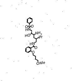 COCCCCOc1ccccc1C(=O)NCC(CC(N)C(O)CNS(=O)(=O)c1ccccc1)C(C)C